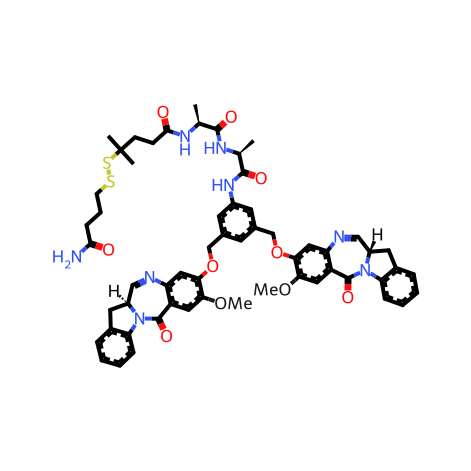 COc1cc2c(cc1OCc1cc(COc3cc4c(cc3OC)C(=O)N3c5ccccc5C[C@H]3C=N4)cc(NC(=O)[C@H](C)NC(=O)[C@H](C)NC(=O)CCC(C)(C)SSCCCC(N)=O)c1)N=C[C@@H]1Cc3ccccc3N1C2=O